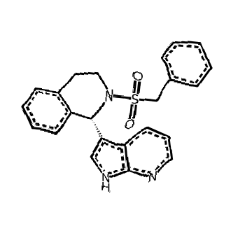 O=S(=O)(Cc1ccccc1)N1CCc2ccccc2[C@H]1c1c[nH]c2ncccc12